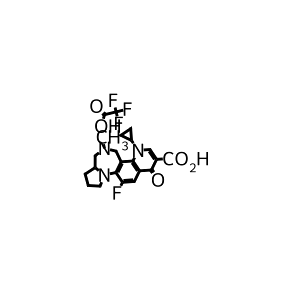 CN1Cc2c(c(F)cc3c(=O)c(C(=O)O)cn(C4CC4)c23)N2CCCC2C1.O=C(O)C(F)(F)F